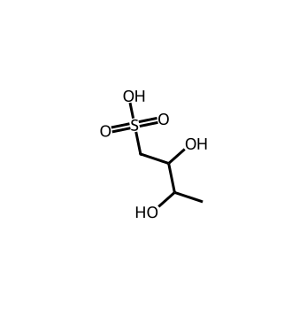 CC(O)C(O)CS(=O)(=O)O